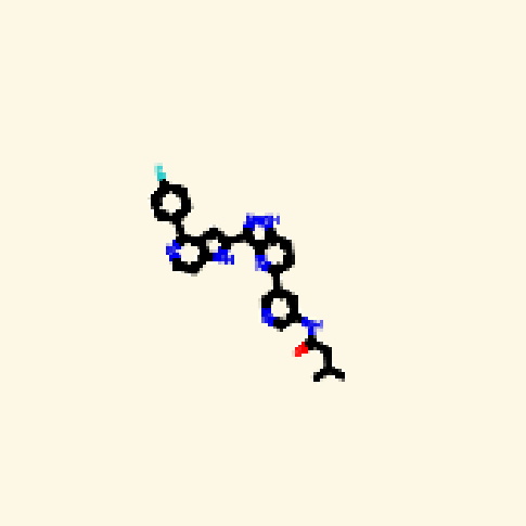 CC(C)CC(=O)Nc1cncc(-c2ccc3[nH]nc(-c4cc5c(-c6ccc(F)cc6)nccc5[nH]4)c3n2)c1